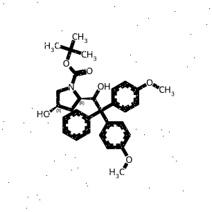 COc1ccc(C(c2ccccc2)(c2ccc(OC)cc2)C(O)[C@H]2C[C@@H](O)CN2C(=O)OC(C)(C)C)cc1